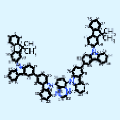 CC1(C)c2ccccc2-c2ccc(-n3c4ccccc4c4cc(-c5ccc6c(c5)c5ccccc5n6-c5ccc(-n6c7ccccc7c7cc(-c8ccc9c(c8)c8ccccc8n9-c8ccc9c(c8)C(C)(C)c8ccccc8-9)ccc76)c6nccnc56)ccc43)cc21